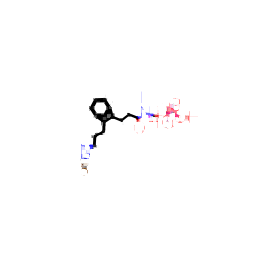 O=C(CCC1c2cccc(c2)C1CCCN=C=S)NCOP(=O)(O)O